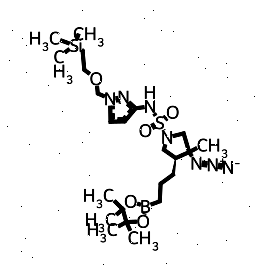 CC1(N=[N+]=[N-])CN(S(=O)(=O)Nc2ccn(COCC[Si](C)(C)C)n2)C[C@@H]1CCCB1OC(C)(C)C(C)(C)O1